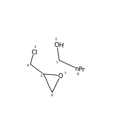 CCCCO.ClCC1CO1